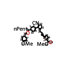 [C-]#[N+]C1=C(c2ccc(C(CCCCC)OCc3ccc(OC)cc3)cc2)C(CCCc2ccc(C(=O)OC)s2)CC1